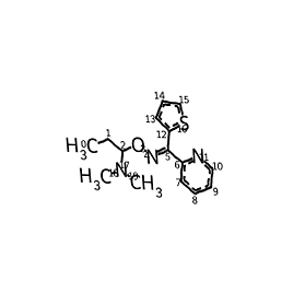 CCC(ON=C(c1ccccn1)c1cccs1)N(C)C